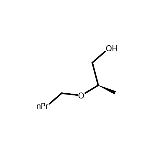 CCCCO[C@H](C)CO